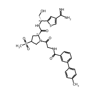 Cc1ccc(-c2cccc(C(=O)NCC(=O)N3CC(S(C)(=O)=O)C[C@H]3C(=O)N[C@H](CO)c3cc(C(=N)N)cs3)c2)cc1